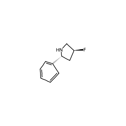 F[C@@H]1CN[C@@H](c2ccccc2)C1